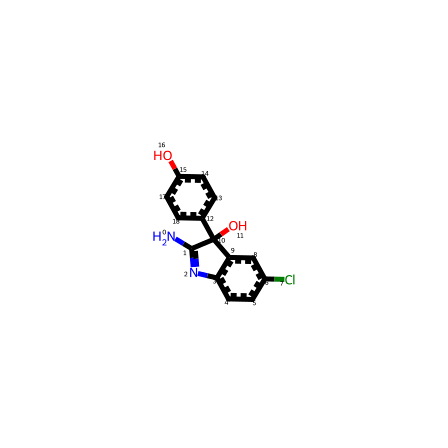 NC1=Nc2ccc(Cl)cc2C1(O)c1ccc(O)cc1